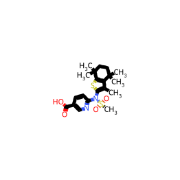 Cc1c(N(c2ccc(C(=O)O)cn2)S(C)(=O)=O)sc2c1C(C)(C)CCC2(C)C